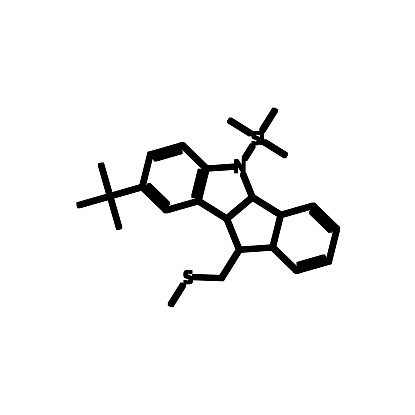 CSCC1C2C=CC=CC2C2C1c1cc(C(C)(C)C)ccc1N2[Si](C)(C)C